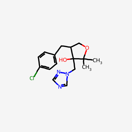 CC1(C)OCC(Cc2ccc(Cl)cc2)C1(O)Cn1cncn1